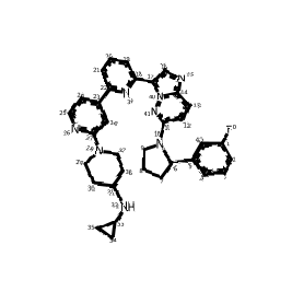 Fc1cccc([C@H]2CCCN2c2ccc3ncc(-c4cccc(-c5ccnc(N6CCC(NC7CC7)CC6)c5)n4)n3n2)c1